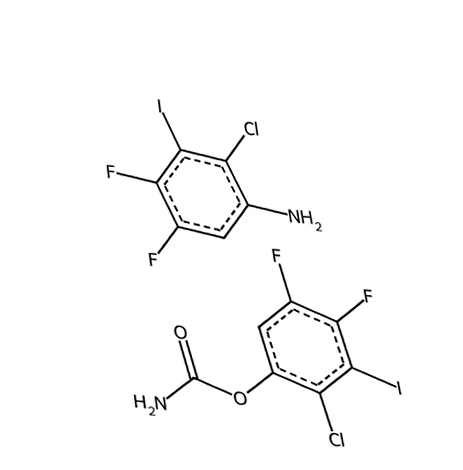 NC(=O)Oc1cc(F)c(F)c(I)c1Cl.Nc1cc(F)c(F)c(I)c1Cl